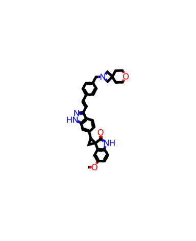 COc1ccc2c(c1)C1(CC1c1ccc3c(/C=C/c4ccc(CN5CC6(CCOCC6)C5)cc4)n[nH]c3c1)C(=O)N2